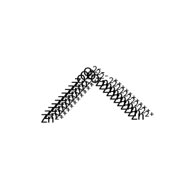 [O-2].[O-2].[O-2].[O-2].[O-2].[Zn+2].[Zn+2].[Zn+2].[Zn+2].[Zn+2].[Zn+2].[Zn+2].[Zn+2].[Zn+2].[Zn+2].[Zn+2].[Zn+2].[Zn+2].[Zn+2].[Zn+2].[Zn+2].[Zn+2].[Zn+2].[Zn+2].[Zn+2].[Zn+2].[Zn+2]